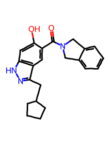 O=C(c1cc2c(CC3CCCC3)n[nH]c2cc1O)N1Cc2ccccc2C1